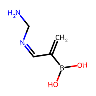 C=C(/C=N\CN)B(O)O